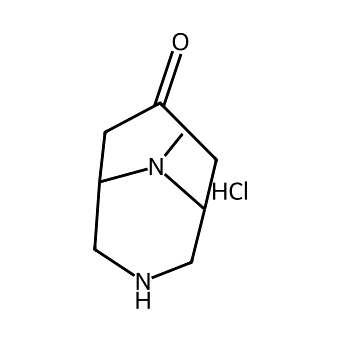 CN1C2CNCC1CC(=O)C2.Cl